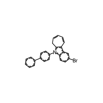 Brc1ccc2c(c1)c1c(n2-c2ccc(-c3ccccc3)cc2)CC=CC=C1